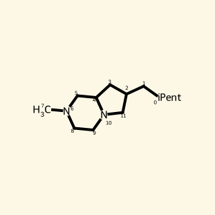 CCCC(C)CC1CC2CN(C)CCN2C1